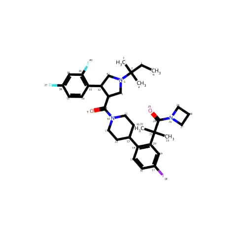 CCC(C)(C)N1CC(C(=O)N2CCC(c3ccc(I)cc3C(C)(C)C(=O)N3CCC3)CC2)C(c2ccc(F)cc2F)C1